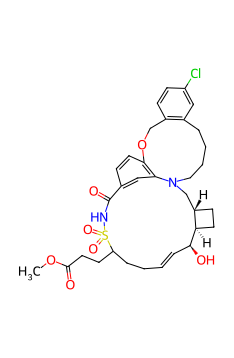 COC(=O)CCC1CC/C=C/[C@H](O)[C@@H]2CC[C@H]2CN2CCCCc3cc(Cl)ccc3COc3ccc(cc32)C(=O)NS1(=O)=O